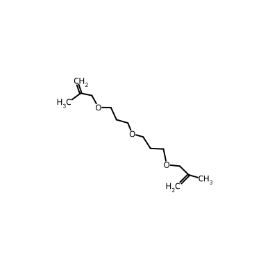 C=C(C)COCCCOCCCOCC(=C)C